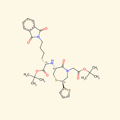 CC(C)(C)OC(=O)CN1C[C@@H](c2cccs2)SC[C@H](N[C@@H](CCCCN2C(=O)c3ccccc3C2=O)C(=O)OC(C)(C)C)C1=O